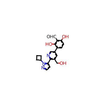 O=Cc1c(O)ccc(-c2cnc(-c3ccnn3C3CCC3)c(CO)c2)c1O